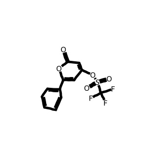 O=c1cc(OS(=O)(=O)C(F)(F)F)cc(-c2ccccc2)o1